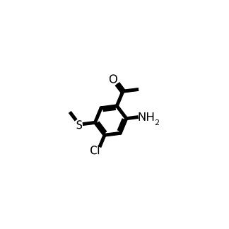 CSc1cc(C(C)=O)c(N)cc1Cl